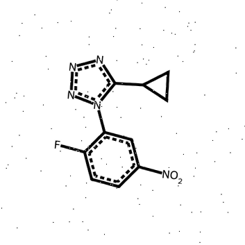 O=[N+]([O-])c1ccc(F)c(-n2nnnc2C2CC2)c1